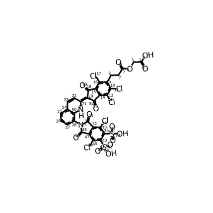 O=C(O)COC(=O)CCc1c(Cl)c(Cl)c2c(c1Cl)C(=O)/C(=C1\C=Cc3cccc(N4C(=O)c5c(Cl)c(S(=O)(=O)O)c(S(=O)(=O)O)c(Cl)c5C4=O)c3N1)C2=O